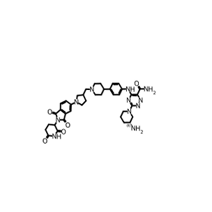 NC(=O)c1nnc(N2CCC[C@@H](N)C2)nc1Nc1ccc(C2CCN(CC3CCN(c4ccc5c(c4)C(=O)N(C4CCC(=O)NC4=O)C5=O)C3)CC2)cc1